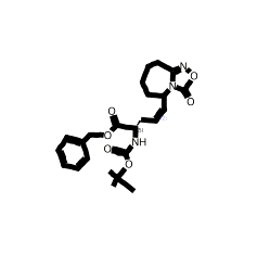 CC(C)(C)OC(=O)N[C@@H](C/C=C\C1CCCCc2noc(=O)n21)C(=O)OCc1ccccc1